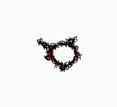 CC[C@H](C)[C@@H]1NC(=O)[C@H](C)N(C)C(=O)C[C@@H](C(=O)N2CCCC2)NC(=O)[C@H](CC(C)C)N(C)C(=O)[C@H](Cc2ccccc2)N(C)C(=O)[C@@H]2CCCN2C(=O)[C@H](CCc2ccc(C(F)(F)F)cc2F)NC(=O)CN(C)C(=O)[C@H](Cc2ccc(Cl)cc2)N(C)C(=O)CN(C)C(=O)CN(C)C1=O